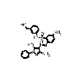 Nc1ccc(/N=N/c2c(N)nn(-c3ccccc3)c2O)c(S(=O)(=O)Nc2cccc(CO)c2)c1